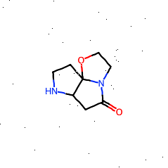 O=C1CC2NCCC23OCCN13